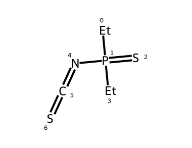 CCP(=S)(CC)N=C=S